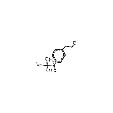 CC(C)(Br)C(=O)c1ccc(CCCl)cc1